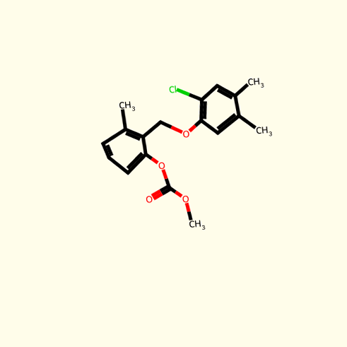 COC(=O)Oc1cccc(C)c1COc1cc(C)c(C)cc1Cl